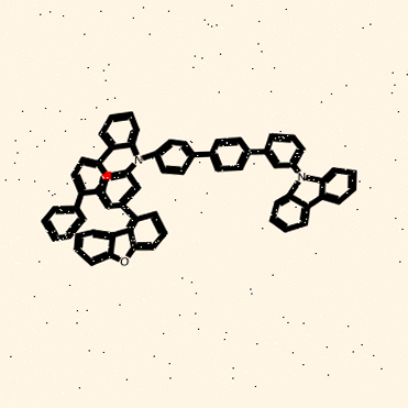 c1ccc(-c2ccc(-c3ccccc3N(c3ccc(-c4ccc(-c5cccc(-n6c7ccccc7c7ccccc76)c5)cc4)cc3)c3cccc(-c4cccc5oc6ccccc6c45)c3)cc2)cc1